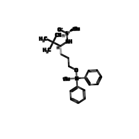 CC(C)(C#N)[C@@H](CCCO[Si](c1ccccc1)(c1ccccc1)C(C)(C)C)N[S@@+]([O-])C(C)(C)C